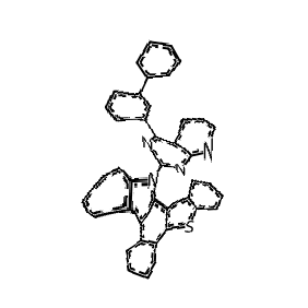 c1ccc(-c2cccc(-c3nc(-n4c5ccccc5c5c6ccccc6c6sc7ccccc7c6c54)nc4ncccc34)c2)cc1